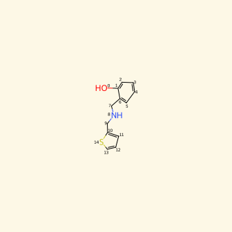 Oc1ccccc1CNCc1cccs1